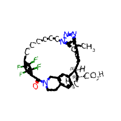 Cc1c2ccc3c1nnn3CCCCCCc1c(F)c(F)c(c(F)c1F)C(=O)N1CCc3ccc(cc3C1)[C@@H]2[C@@H](C)C(=O)O